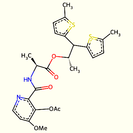 COc1ccnc(C(=O)N[C@@H](C)C(=O)O[C@@H](C)C(c2ccc(C)s2)c2ccc(C)s2)c1OC(C)=O